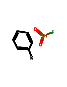 O=[SH](=O)F.[K][c]1ccccc1